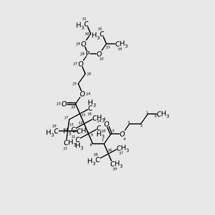 CCCCOC(=O)C(CC(C)(C)C(C)(C)C(C)(CC(C)(C)C)C(=O)OCCOP(OCC)OC(C)C)C(C)(C)C